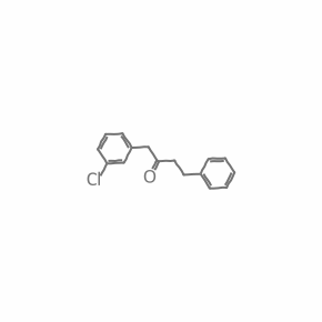 O=C(CCc1ccccc1)Cc1cccc(Cl)c1